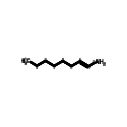 CCCCCC/C=[CH]/[AlH2]